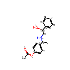 CCC(=O)Oc1ccc(C(C)NC[C@@H](O)c2ccccc2)cc1